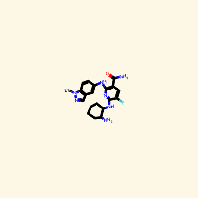 CCn1ncc2cc(Nc3nc(NC4CCCCC4N)c(F)cc3C(N)=O)ccc21